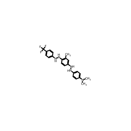 Cc1cc(NNc2ccc(N(C)C)cc2)ccc1NNc1ccc(C(F)(F)F)cc1